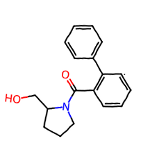 O=C(c1ccc[c]c1-c1ccccc1)N1CCCC1CO